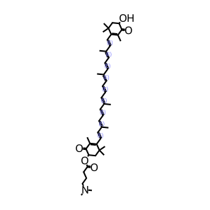 CC1=C(/C=C/C(C)=C/C=C/C(C)=C/C=C/C=C(C)/C=C/C=C(C)/C=C/C2=C(C)C(=O)C(OC(=O)CCCN(C)C)CC2(C)C)C(C)(C)CC(O)C1=O